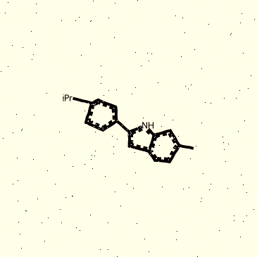 Cc1ccc2cc(-c3ccc(C(C)C)cc3)[nH]c2c1